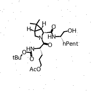 CCCCC[C@@H](CO)NC(=O)[C@@H]1[C@@H]2[C@H](CN1C(=O)[C@H](CCCOC(C)=O)NC(=O)OC(C)(C)C)C2(C)C